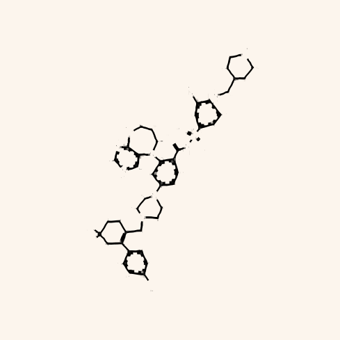 CC1(C)CCC(CN2CCN(c3ccc(C(=O)NS(=O)(=O)c4ccc(NCC5CCOCC5)c([N+](=O)[O-])c4)c(N4CCCOc5ncncc54)c3)CC2)=C(c2ccc(Cl)cc2)C1